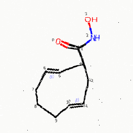 O=C(NO)C1/C=C/CCC/C=C/C1